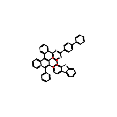 c1ccc(-c2ccc(-c3nc(-c4ccccc4-c4c5ccccc5c(-c5ccccc5)c5ccccc45)nc(-c4cccc5c4sc4ccccc45)n3)cc2)cc1